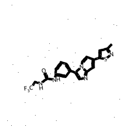 Cc1cc(-c2ccn3c(-c4cccc(NC(=O)NCC(F)(F)F)c4)cnc3c2)sn1